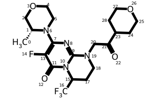 C[C@@H]1COCCN1c1nc2n(c(=O)c1F)C(C(F)(F)F)CCN2CC(=O)C1CCOCC1